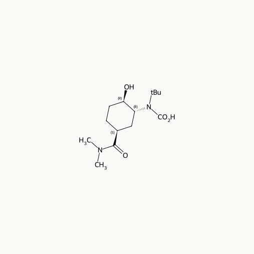 CN(C)C(=O)[C@H]1CC[C@@H](O)[C@H](N(C(=O)O)C(C)(C)C)C1